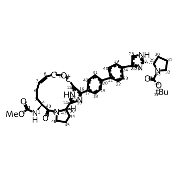 COC(=O)N[C@H]1CCC=CCOCc2[nH]c(nc2-c2ccc(-c3ccc(-c4c[nH]c([C@@H]5CCCN5C(=O)OC(C)(C)C)n4)cc3)cc2)[C@@H]2CCCN2C1=O